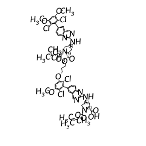 COc1cc(OC)c(Cl)c(-c2ccc3nc(N[C@H]4C[C@@H](C(=O)OCCCOc5cc(OC)c(Cl)c(-c6ccc7nc(N[C@H]8C[C@@H](C(=O)O)N(C(=O)OC(C)(C)C)C8)ncc7c6)c5Cl)N(C(=O)OC(C)(C)C)C4)ncc3c2)c1Cl